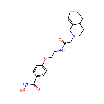 O=C(CN1CCC2CCCC=C2C1)NCCOc1ccc(C(=O)NO)cc1